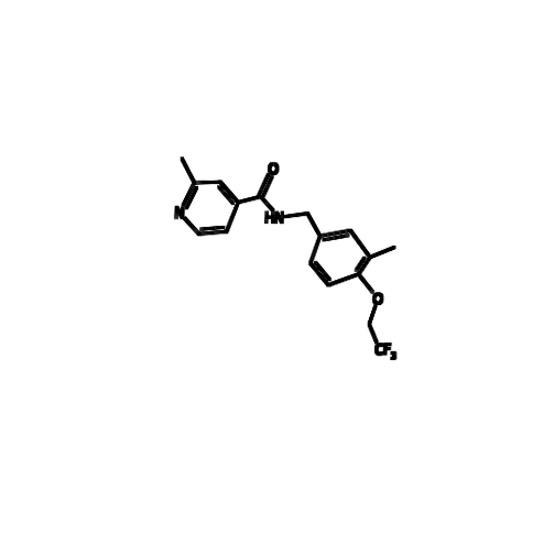 Cc1cc(C(=O)NCc2ccc(OCC(F)(F)F)c(C)c2)ccn1